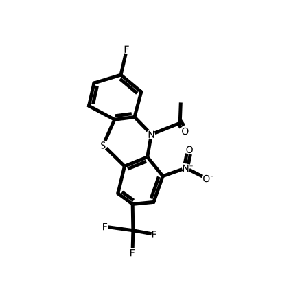 CC(=O)N1c2cc(F)ccc2Sc2cc(C(F)(F)F)cc([N+](=O)[O-])c21